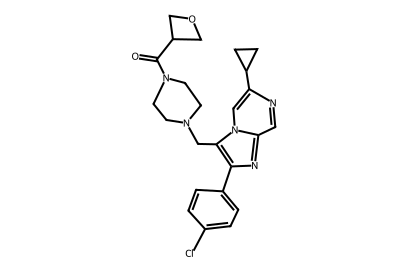 O=C(C1COC1)N1CCN(Cc2c(-c3ccc(Cl)cc3)nc3cnc(C4CC4)cn23)CC1